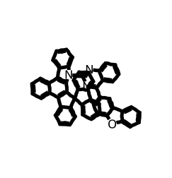 c1ccc2c(c1)-c1ccccc1C21c2ccccc2-c2c1c1c(c3ccccc23)c2ccccc2n1-c1nc(-c2ccc3oc4ccccc4c3c2)c2ccccc2n1